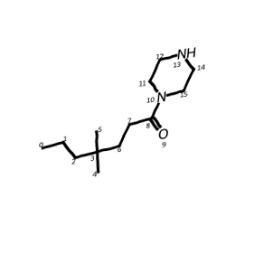 CCCC(C)(C)CCC(=O)N1CCNCC1